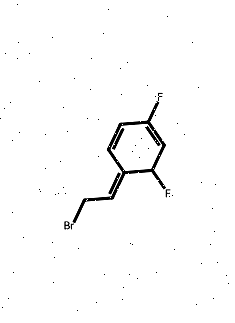 FC1=CC(F)C(=CCBr)C=C1